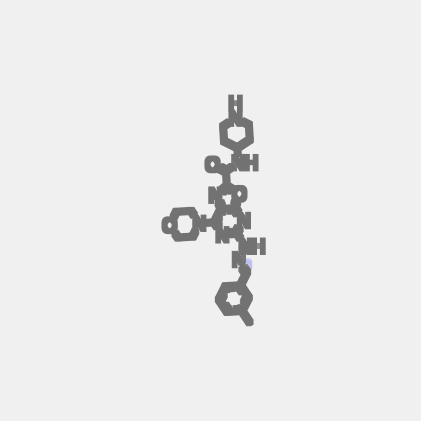 Cc1cccc(/C=N/Nc2nc(N3CCOCC3)c3nc(C(=O)NC4CCNCC4)oc3n2)c1